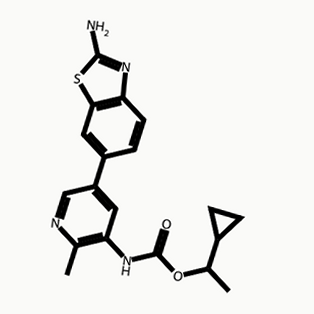 Cc1ncc(-c2ccc3nc(N)sc3c2)cc1NC(=O)OC(C)C1CC1